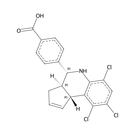 O=C(O)c1ccc([C@@H]2Nc3c(Cl)cc(Cl)c(Cl)c3[C@@H]3C=CC[C@H]32)cc1